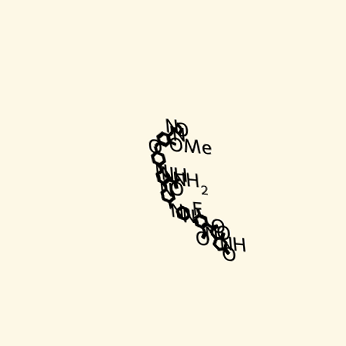 COc1cc(OC2CCC(N3C=CC(N4CCC(CN5CCN(c6cc7c(cc6F)C(=O)N(C6CCC(=O)NC6=O)C7=O)CC5)CC4)=C(C(N)=O)N3)CC2)ccc1-c1ncon1